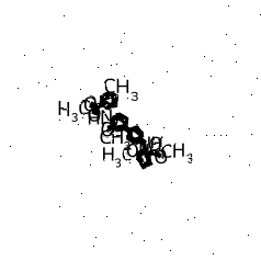 COC(=O)c1ccccc1Nc1ccc(-c2ccc(Nc3ccc(C)cc3C(=O)OC)c(OC)c2)cc1OC